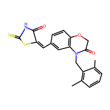 Cc1cccc(C)c1CN1C(=O)COc2ccc(C=C3SC(=S)NC3=O)cc21